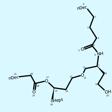 CCCCCCCCCCCCCC(=O)N[C@@H](CCO)COCC[C@@H](CCCCCCC)OC(=O)CCCCCCCCCCC